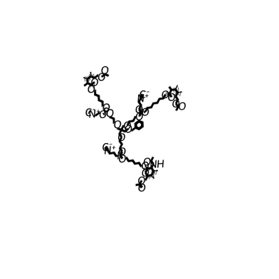 [C-]#[N+]CCCP(OCCCCCCO[C@@H]1OC(COC(C)=O)[C@H](C)[C@H](C)C1NC(C)=O)OCCCOCC(COCCCOP(OCCCCCCO[C@@H]1OC(COC(C)=O)[C@H](C)[C@H](C)C1C)OCC[N+]#[C-])(COCCCOP(OCCCCCCO[C@@H]1OC(COC(C)=O)[C@H](C)[C@H](C)C1C)OCC[N+]#[C-])COCc1ccccc1